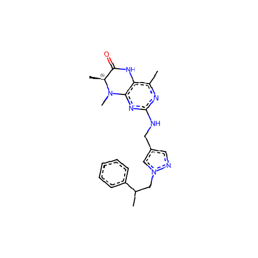 Cc1nc(NCc2cnn(CC(C)c3ccccc3)c2)nc2c1NC(=O)[C@H](C)N2C